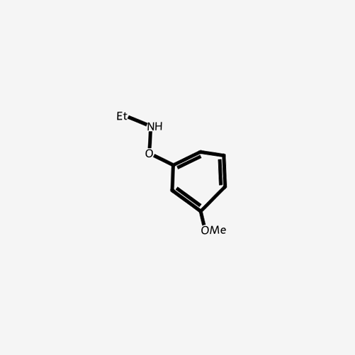 CCNOc1cccc(OC)c1